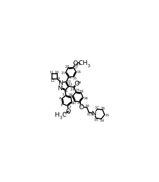 COc1ccc(-c2nn(C3CCC3)c(-c3ccc(OC)cc3)c2C(=O)c2ccc(OCCN3CCCCC3)cc2)cc1